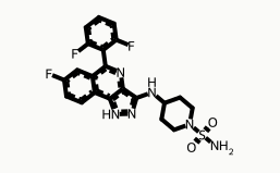 NS(=O)(=O)N1CCC(Nc2n[nH]c3c2nc(-c2c(F)cccc2F)c2cc(F)ccc23)CC1